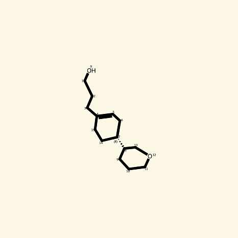 OCCCC1=CC[C@H](C2CCCOC2)CC1